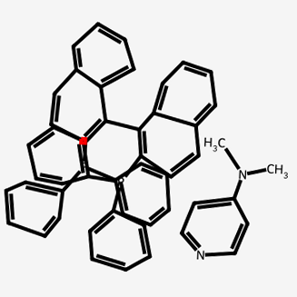 CN(C)c1ccncc1.c1ccc(P(c2ccccc2)c2ccc3ccccc3c2-c2c(P(c3ccccc3)c3ccccc3)ccc3ccccc23)cc1